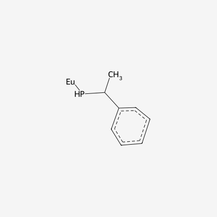 CC([PH][Eu])c1ccccc1